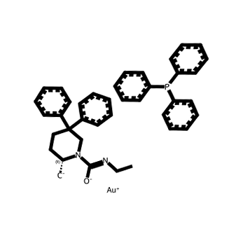 [Au+].[CH2-][C@@H]1CCC(c2ccccc2)(c2ccccc2)CN1C([O-])=NCC.c1ccc(P(c2ccccc2)c2ccccc2)cc1